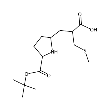 CSCC(CC1CCC(C(=O)OC(C)(C)C)N1)C(=O)O